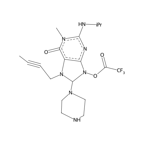 CC#CCN1c2c(nc(NC(C)C)n(C)c2=O)N(OC(=O)C(F)(F)F)C1N1CCNCC1